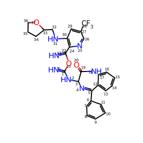 N=C(NC1N=C(c2ccccc2)c2ccccc2NC1=O)OC(=N)c1ncc(C(F)(F)F)cc1NCC1CCCO1